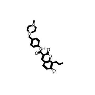 CCCc1c(OC)ccc2cc(C(=O)Nc3ccc(CN4CCN(C)CC4)cc3)c(=O)oc12